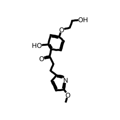 COc1ccc(CCC(=O)c2ccc(OCCO)cc2O)cn1